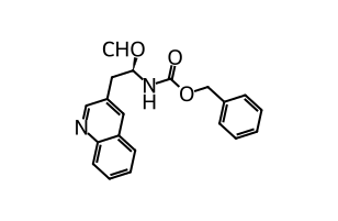 O=C[C@H](Cc1cnc2ccccc2c1)NC(=O)OCc1ccccc1